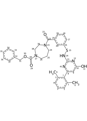 Cc1cccc(C)c1-c1cc(O)nc(NSc2cccc(C(=O)N3CCCN(C(=O)OCc4ccccc4)CC3)c2)n1